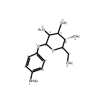 CC(=O)Nc1ccc(OC2OC(COC(C)=O)[C@@H](OC(C)=O)C(OC(C)=O)C2OC(C)=O)cc1